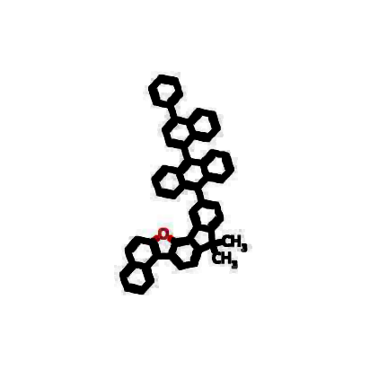 CC1(C)c2ccc(-c3c4ccccc4c(-c4ccc(-c5ccccc5)c5ccccc45)c4ccccc34)cc2-c2c1ccc1c2oc2ccc3ccccc3c21